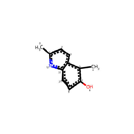 Cc1ccc2c(C)c(O)ccc2n1